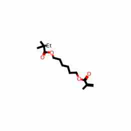 C=C(C)C(=O)OCCCCCCOC(=O)C(C)(C)CC